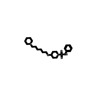 O=S(=O)(Nc1ccccc1)N1CCC(OCCCCCCN2CCCCC2)CC1